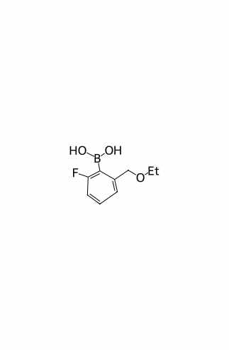 CCOCc1cccc(F)c1B(O)O